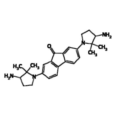 CC1(C)C(N)CCN1c1ccc2c(c1)C(=O)c1cc(N3CCC(N)C3(C)C)ccc1-2